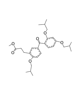 COC(=O)CCc1cc(C(=O)c2ccc(OCC(C)C)cc2OCC(C)C)ccc1OCC(C)C